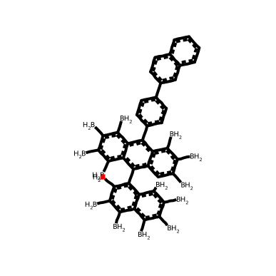 Bc1cc2c(-c3c(B)c(B)c(B)c4c(B)c(B)c(B)c(B)c34)c3c(B)c(B)c(B)c(B)c3c(-c3ccc(-c4ccc5ccccc5c4)cc3)c2c(B)c1B